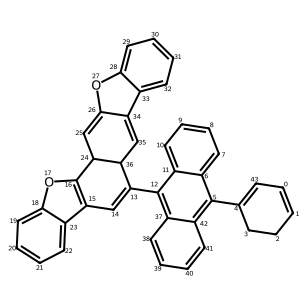 C1=CCCC(c2c3ccccc3c(C3=Cc4c(oc5ccccc45)C4C=c5oc6ccccc6c5=CC34)c3ccccc23)=C1